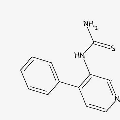 NC(=S)Nc1[c]nccc1-c1ccccc1